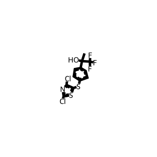 CC(O)(c1ccc(Sc2sc(Cl)nc2Cl)cc1)C(F)(F)F